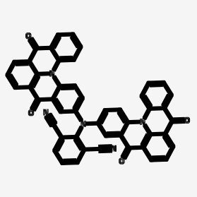 N#Cc1cccc(C#N)c1N(c1ccc2c(c1)c(=O)c1cccc3c(=O)c4ccccc4n2c31)c1ccc2c(c1)c(=O)c1cccc3c(=O)c4ccccc4n2c31